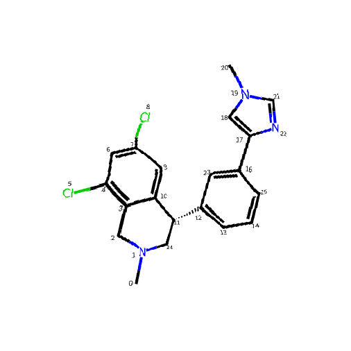 CN1Cc2c(Cl)cc(Cl)cc2[C@H](c2cccc(-c3cn(C)cn3)c2)C1